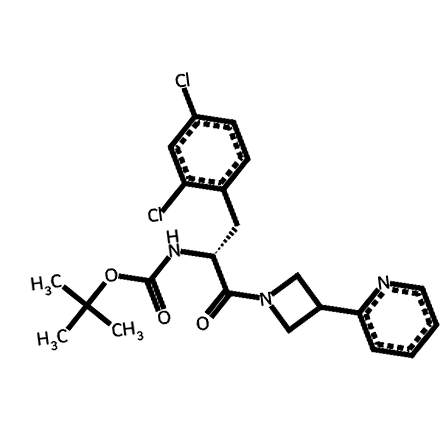 CC(C)(C)OC(=O)N[C@H](Cc1ccc(Cl)cc1Cl)C(=O)N1CC(c2ccccn2)C1